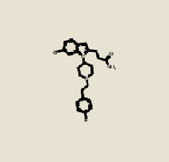 NC(=O)CCc1cc2ccc(Cl)cc2n1C1CCN(CCc2ccc(F)cc2)CC1